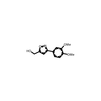 COc1ccc(-c2cc(CO)on2)cc1OC